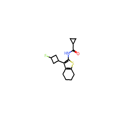 O=C(Nc1sc2c(c1C1CC(F)C1)CCCC2)C1CC1